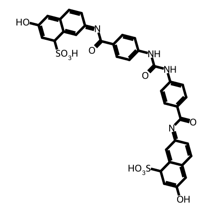 O=C(Nc1ccc(C(=O)N=C2C=CC3=CC(O)=CC(S(=O)(=O)O)C3=C2)cc1)Nc1ccc(C(=O)N=C2C=CC3=CC(O)=CC(S(=O)(=O)O)C3=C2)cc1